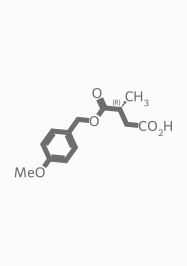 COc1ccc(COC(=O)[C@H](C)CC(=O)O)cc1